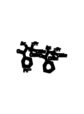 CCC[Si](OC)(OC)C(C(C)=O)C(=O)c1ccccc1.CCC[Si](OC)(OC)C(C(C)=O)C(=O)c1ccccc1.[Pt+2]